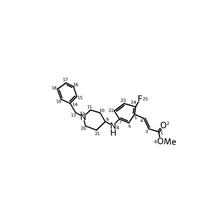 COC(=O)/C=C/c1cc(NC2CCN(Cc3ccccc3)CC2)ccc1F